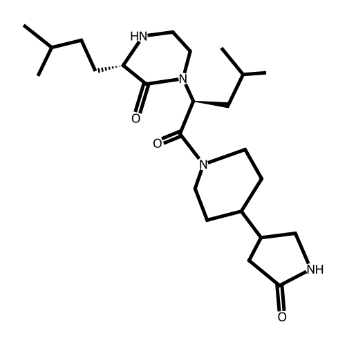 CC(C)CC[C@@H]1NCCN([C@@H](CC(C)C)C(=O)N2CCC(C3CNC(=O)C3)CC2)C1=O